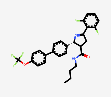 CCCCNC(=O)C1CC(c2c(F)cccc2F)=N[C@H]1c1ccc(-c2ccc(OC(F)(F)F)cc2)cc1